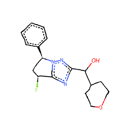 OC(c1nc2n(n1)[C@H](c1ccccc1)C[C@@H]2F)C1CCOCC1